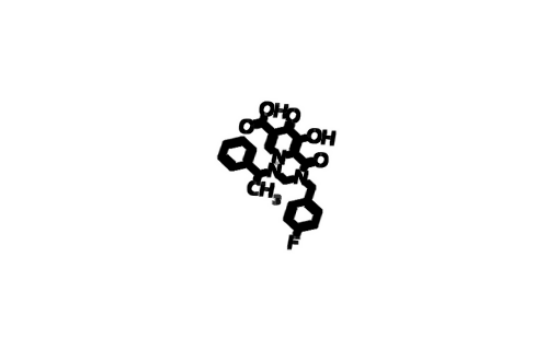 CC(c1ccccc1)N1CN(Cc2ccc(F)cc2)C(=O)c2c(O)c(=O)c(C(=O)O)cn21